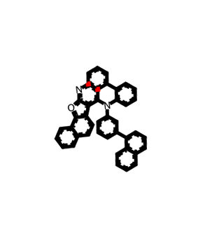 c1ccc(-c2ccccc2N(c2cccc(-c3cccc4ccccc34)c2)c2ccnc3oc4c5ccccc5ccc4c23)cc1